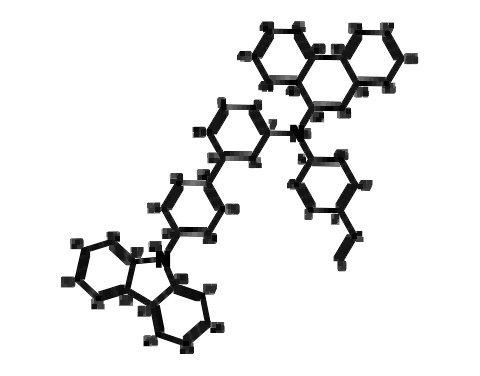 C=Cc1ccc(N(c2cccc(-c3ccc(-n4c5ccccc5c5ccccc54)cc3)c2)c2cc3ccccc3c3ccccc23)cc1